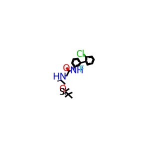 C[C@H](CO[Si](C)(C)C(C)(C)C)NCC(=O)Nc1cccc(-c2ccccc2Cl)c1F